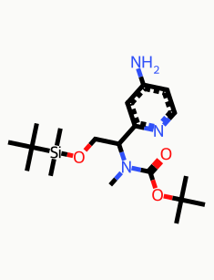 CN(C(=O)OC(C)(C)C)C(CO[Si](C)(C)C(C)(C)C)c1cc(N)ccn1